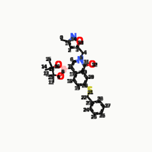 Cc1cc(Cn2cc(B3OC(C)(C)C(C)(C)O3)c3ccc(SCc4ccccc4)cc3c2=O)on1